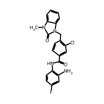 Cn1c(=O)n(Cc2ccc(C(=O)Nc3ccc(F)cc3N)cc2Cl)c2ccccc21